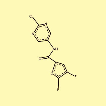 O=C(Nc1cnc(Cl)nc1)c1cc(F)c(F)o1